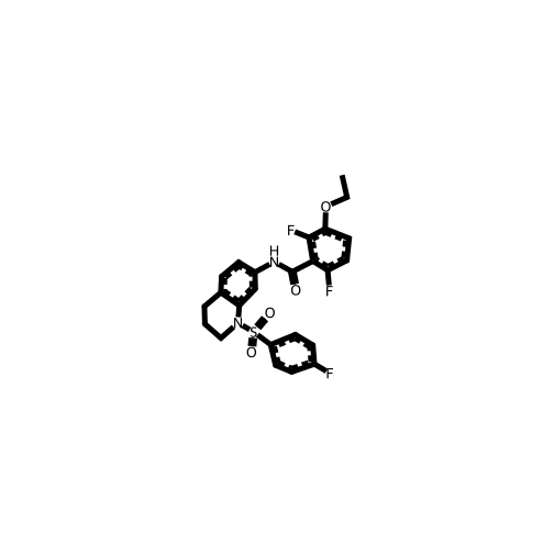 CCOc1ccc(F)c(C(=O)Nc2ccc3c(c2)N(S(=O)(=O)c2ccc(F)cc2)CCC3)c1F